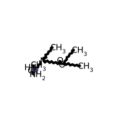 CCCCCCCCC(CCCCCCCC)OC(=O)CCCCCCCN(CCCCCCCC)CCCC/C(=N/[S+](N)[O-])NC